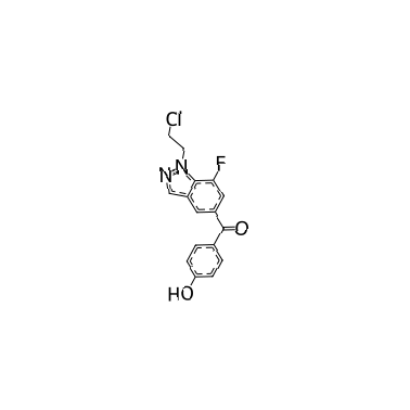 O=C(c1ccc(O)cc1)c1cc(F)c2c(cnn2CCCl)c1